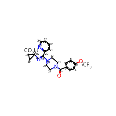 O=C(c1ccc(OC(F)(F)F)cc1)N1CCN(/C(=N/C2(C(=O)O)CC2)c2ccccn2)CC1